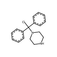 ClC(c1ccccc1)(c1ccccc1)N1CCNCC1